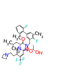 Cc1cc(-c2c(C)cccc2F)cc([C@H](CC(=O)O)NC(=O)C(CC(C)C)n2cc(CCN3CCC3)c(C(F)(F)F)cc2=O)c1F